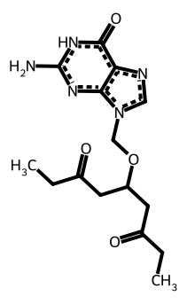 CCC(=O)CC(CC(=O)CC)OCn1cnc2c(=O)[nH]c(N)nc21